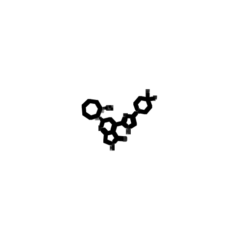 N#C[C@H]1CCCCC[C@H]1C1CC(c2nc(N3CCC(F)(F)CC3)c[nH]2)=C2C(=O)NCC2=N1